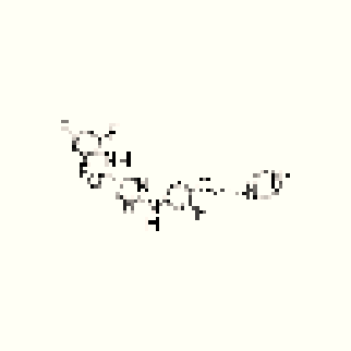 CN1CCN(CCCOc2ccc(Nc3ncc(C(=O)Nc4c(F)cc(F)cc4F)cn3)cc2F)CC1